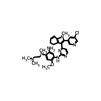 COc1cc(N(C)CCN(C)C)c(N)cc1Nc1nccc(-c2c3c(n(C)c2-c2cncc(Cl)c2)C=CCC3)n1